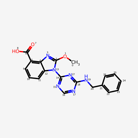 COc1nc2c(C(=O)O)cccc2n1-c1ncnc(NCc2ccccc2)n1